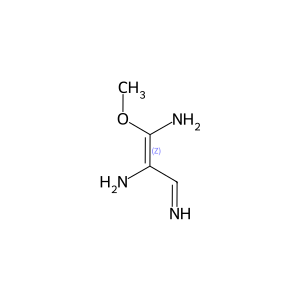 CO/C(N)=C(\N)C=N